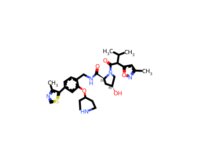 Cc1cc(C(C(=O)N2C[C@H](O)C[C@H]2C(=O)NCc2ccc(-c3scnc3C)cc2OC2CCNCC2)C(C)C)on1